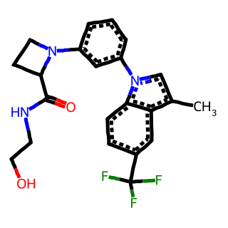 Cc1cn(-c2cccc(N3CCC3C(=O)NCCO)c2)c2ccc(C(F)(F)F)cc12